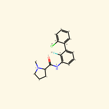 CN1CCCC1C(=O)Nc1cccc(-c2ccccc2Cl)c1F